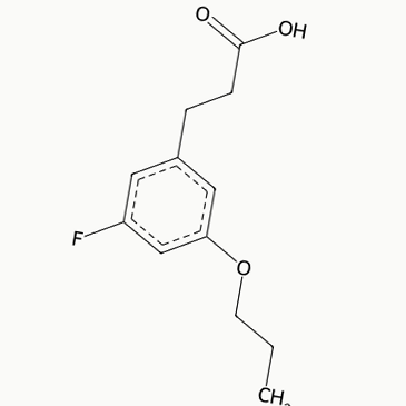 CCCOc1cc(F)cc(CCC(=O)O)c1